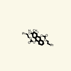 Cc1cc2c(OC(=O)OCCC(C)C)c3ccccc3c(OC(=O)OCCC(C)C)c2cc1C